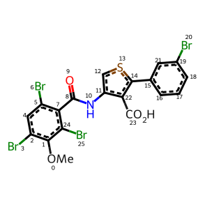 COc1c(Br)cc(Br)c(C(=O)Nc2csc(-c3cccc(Br)c3)c2C(=O)O)c1Br